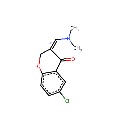 CN(C)/C=C1/COc2ccc(Cl)cc2C1=O